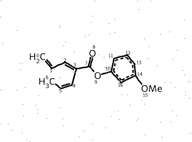 C=C/C=C(\C=C/C)C(=O)Oc1cccc(OC)c1